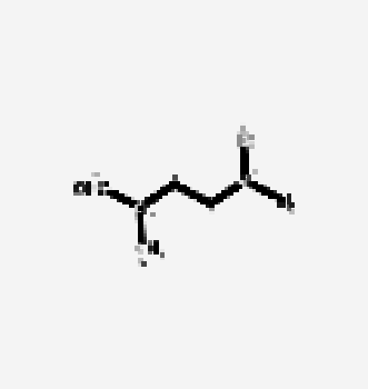 CCN(CC)CCN(C)C=O